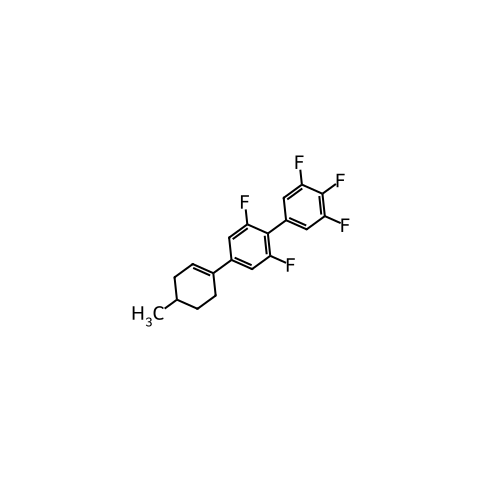 CC1CC=C(c2cc(F)c(-c3cc(F)c(F)c(F)c3)c(F)c2)CC1